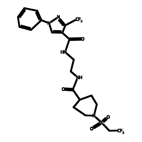 O=C(NCCNC(=O)C1CCN(S(=O)(=O)CC(F)(F)F)CC1)c1cn(-c2ccccc2)nc1C(F)(F)F